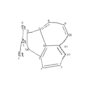 C[CH2][Zn][CH2]C.c1cc2c3c(cccc3c1)CC2